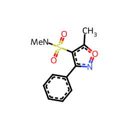 CNS(=O)(=O)c1c(-c2ccccc2)noc1C